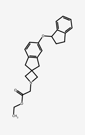 CCOC(=O)CN1CC2(Cc3ccc(OC4CCc5ccccc54)cc3C2)C1